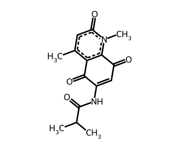 Cc1cc(=O)n(C)c2c1C(=O)C(NC(=O)C(C)C)=CC2=O